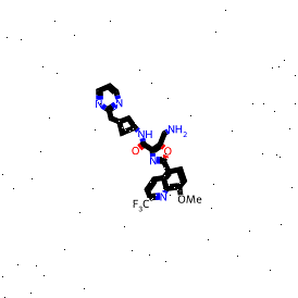 COc1ccc(-c2nc(C(=O)NC3CC(Cc4ncccn4)C3)c(CN)o2)c2ccc(C(F)(F)F)nc12